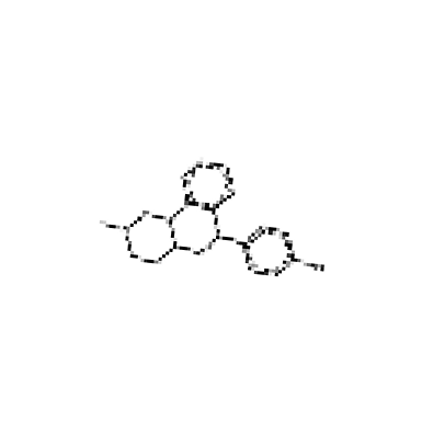 CN1CCC2CC(c3ccc(Br)cc3)c3ccccc3C2C1